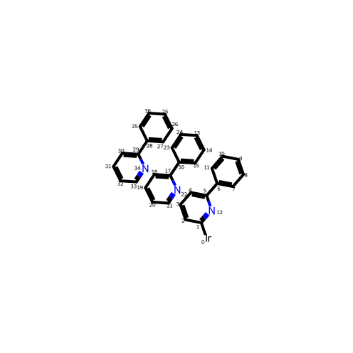 [Ir][c]1cccc(-c2ccccc2)n1.c1ccc(-c2ccccn2)cc1.c1ccc(-c2ccccn2)cc1